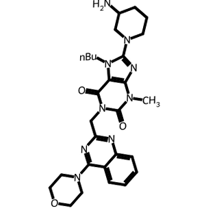 CCCCn1c(N2CCCC(N)C2)nc2c1c(=O)n(Cc1nc(N3CCOCC3)c3ccccc3n1)c(=O)n2C